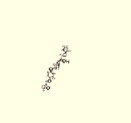 COC(=O)COc1ccc(OCCNCC(O)COc2ccsc2)cc1